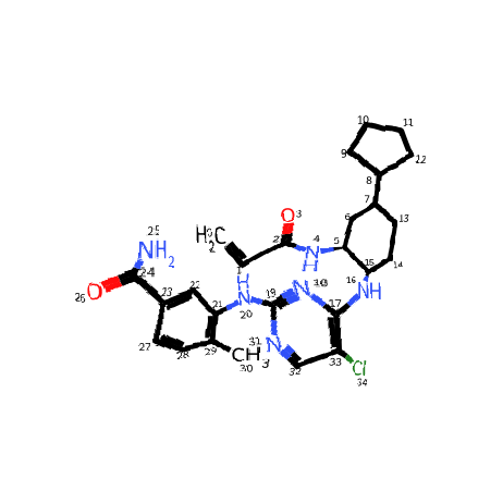 C=CC(=O)N[C@H]1CC(C2CCCC2)CC[C@H]1Nc1nc(Nc2cc(C(N)=O)ccc2C)ncc1Cl